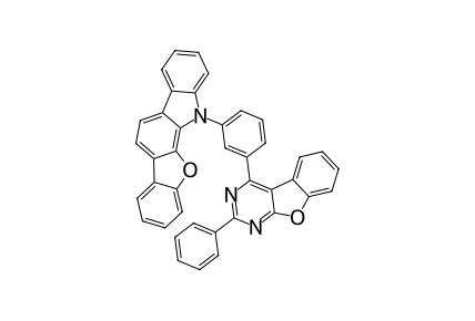 c1ccc(-c2nc(-c3cccc(-n4c5ccccc5c5ccc6c7ccccc7oc6c54)c3)c3c(n2)oc2ccccc23)cc1